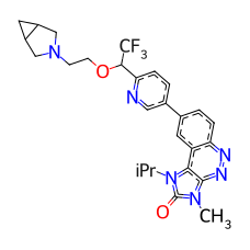 CC(C)n1c(=O)n(C)c2nnc3ccc(-c4ccc(C(OCCN5CC6CC6C5)C(F)(F)F)nc4)cc3c21